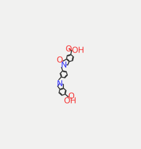 O=C(O)c1ccc2c(c1)CN(Cc1cccc(CN3Cc4ccc(C(=O)O)cc4C3=O)c1)C2